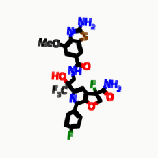 COc1cc(C(=O)NC[C@](O)(c2cc3c(c(-c4ccc(F)cc4)n2)OCC3(F)C(N)=O)C(F)(F)F)cc2sc(N)nc12